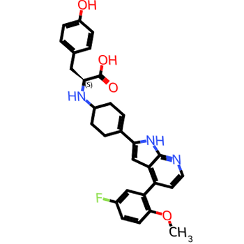 COc1ccc(F)cc1-c1ccnc2[nH]c(C3=CCC(N[C@@H](Cc4ccc(O)cc4)C(=O)O)CC3)cc12